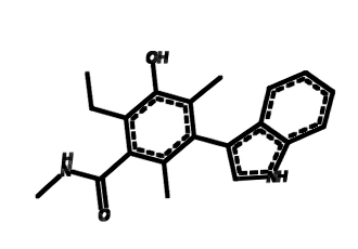 CCc1c(O)c(C)c(-c2c[nH]c3ccccc23)c(C)c1C(=O)NC